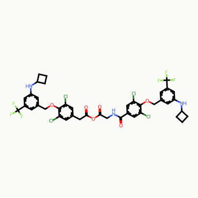 O=C(CNC(=O)c1cc(Cl)c(OCc2cc(NC3CCC3)cc(C(F)(F)F)c2)c(Cl)c1)OC(=O)Cc1cc(Cl)c(OCc2cc(NC3CCC3)cc(C(F)(F)F)c2)c(Cl)c1